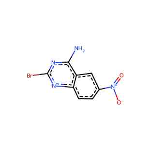 Nc1nc(Br)nc2ccc([N+](=O)[O-])cc12